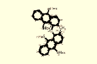 CCCCCCc1c2ccccc2c(CCCCCC)c2c(Oc3c(C)ccc4c(CCCCCC)c5ccccc5c(CCCCCC)c34)c(C)ccc12